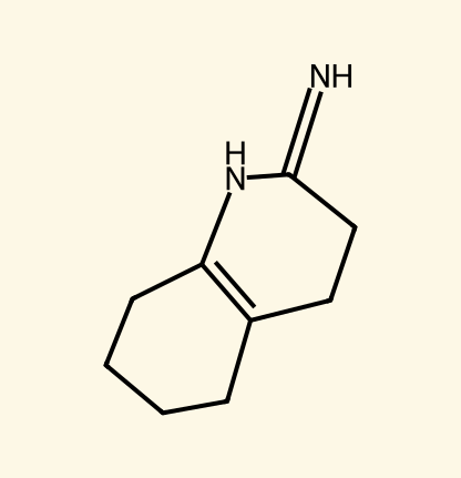 N=C1CCC2=C(CCCC2)N1